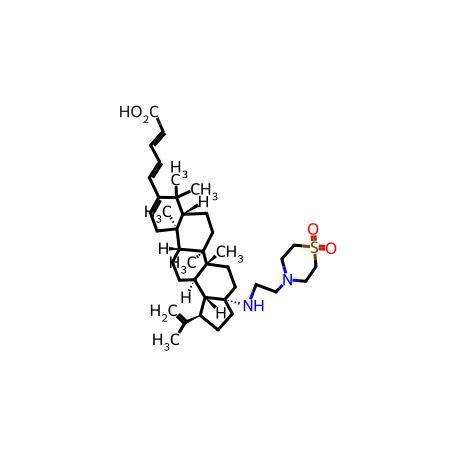 C=C(C)[C@@H]1CC[C@]2(NCCN3CCS(=O)(=O)CC3)CC[C@]3(C)[C@H](CC[C@@H]4[C@@]5(C)CC=C(C=C/C=C/C(=O)O)C(C)(C)[C@@H]5CC[C@]43C)[C@@H]12